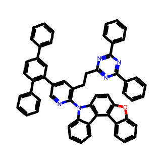 c1ccc(-c2ccc(-c3ccccc3)c(-c3cnc(-n4c5ccccc5c5c6c(ccc54)oc4ccccc46)c(CCc4nc(-c5ccccc5)nc(-c5ccccc5)n4)c3)c2)cc1